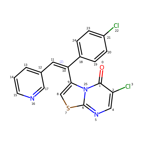 O=c1c(Cl)cnc2scc(/C(=C\c3cccnc3)c3ccc(Cl)cc3)n12